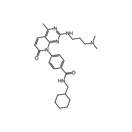 Cc1nc(NCCCN(C)C)nc2c1ccc(=O)n2-c1ccc(C(=O)NCC2CCCCC2)cc1